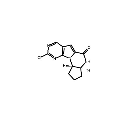 O=C1N[C@H]2CCC[C@@H]2n2c1cc1cnc(Cl)nc12